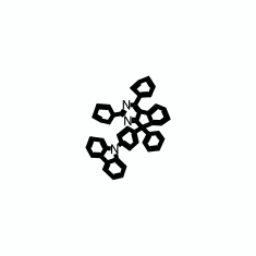 C1=C=C2C(=CC=1)c1c(-c3ccccc3)nc(C3C=CC=CC3)nc1C2(c1ccccc1)c1ccc(-n2c3ccccc3c3ccccc32)cc1